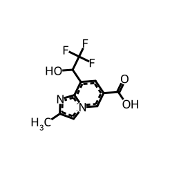 Cc1cn2cc(C(=O)O)cc(C(O)C(F)(F)F)c2n1